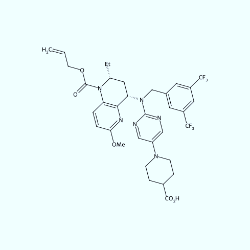 C=CCOC(=O)N1c2ccc(OC)nc2[C@@H](N(Cc2cc(C(F)(F)F)cc(C(F)(F)F)c2)c2ncc(N3CCC(C(=O)O)CC3)cn2)C[C@H]1CC